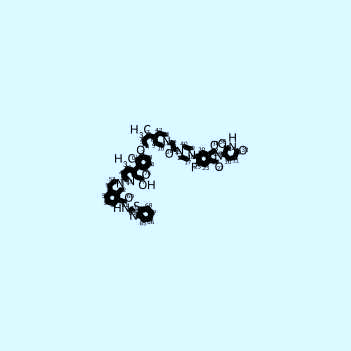 Cc1c(OCCC(C)C2CCN(CC(=O)N3CCN(c4cc5c(cc4F)C(=O)N(C4CCC(=O)NC4=O)C5=O)CC3)CC2)cccc1-c1ccc(N2CCc3cccc(C(=O)Nc4nc5ccccc5s4)c3C2)nc1C(=O)O